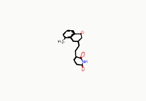 Cc1cccc2c1CC(CCC1CCC(=O)NC1=O)CC2=O